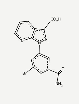 NC(=O)c1cc(Br)cc(-n2nc(C(=O)O)c3cccnc32)c1